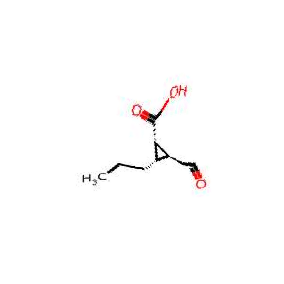 CCC[C@H]1[C@H](C=O)[C@H]1C(=O)O